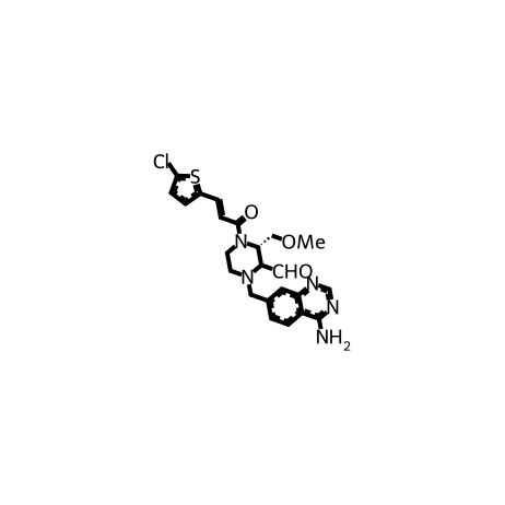 COC[C@@H]1C(C=O)N(Cc2ccc3c(N)ncnc3c2)CCN1C(=O)C=Cc1ccc(Cl)s1